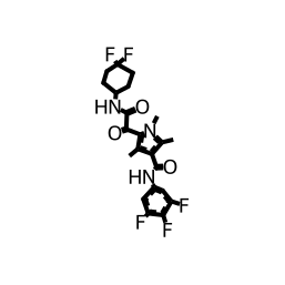 Cc1c(C(=O)Nc2cc(F)c(F)c(F)c2)c(C)n(C)c1C(=O)C(=O)NC1CCC(F)(F)CC1